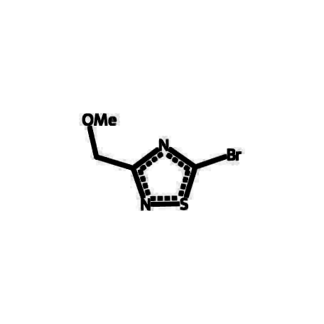 COCc1nsc(Br)n1